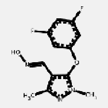 Cc1nn(C)c(Oc2cc(F)cc(F)c2)c1C=NO